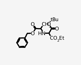 CCOC(=O)C(NC(C)C(=O)OCc1ccccc1)C(=O)OC(C)(C)C